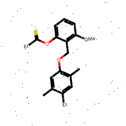 CCC(=S)Oc1cccc(OC)c1COc1cc(C)c(CC)cc1C